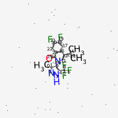 Cc1n[nH]c(C(F)(F)F)c1-n1cc(C(C)C)c2cc(F)c(F)cc2c1=O